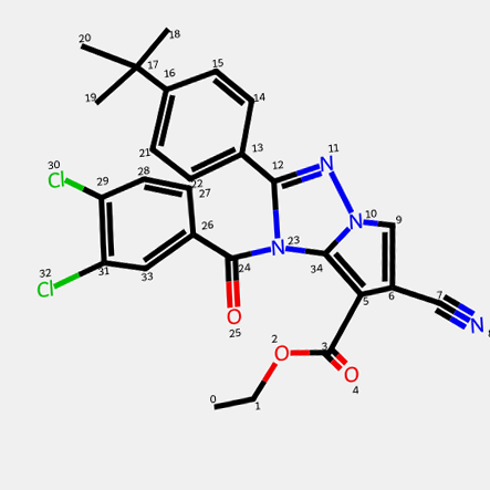 CCOC(=O)c1c(C#N)cn2nc(-c3ccc(C(C)(C)C)cc3)n(C(=O)c3ccc(Cl)c(Cl)c3)c12